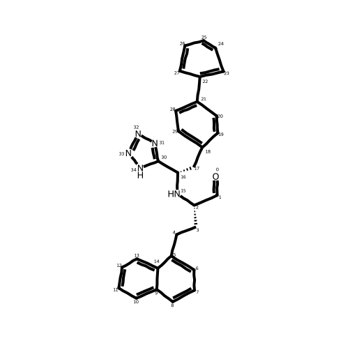 O=C[C@H](CCc1cccc2ccccc12)N[C@@H](Cc1ccc(-c2ccccc2)cc1)c1nnn[nH]1